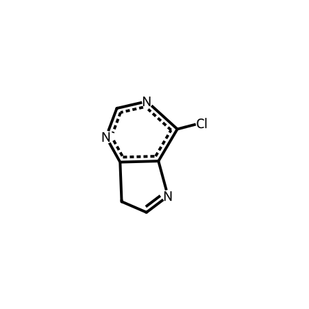 Clc1ncnc2c1N=CC2